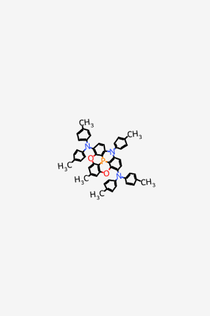 Cc1ccc(N(c2ccc(C)cc2)c2ccc3c4c2Oc2cc(C)cc5c2P4c2c(ccc(N(c4ccc(C)cc4)c4ccc(C)cc4)c2O5)N3c2ccc(C)cc2)cc1